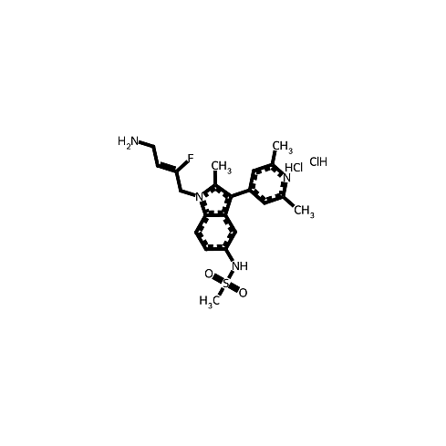 Cc1cc(-c2c(C)n(CC(F)=CCN)c3ccc(NS(C)(=O)=O)cc23)cc(C)n1.Cl.Cl